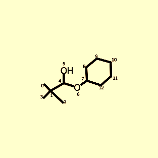 CC(C)(C)C(O)OC1CCCCC1